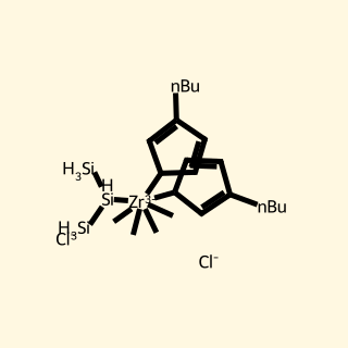 CCCCC1=C[CH]([Zr-3]([CH3])([CH3])([CH3])([CH3])([CH]2C=CC(CCCC)=C2)[SiH]([SiH3])[SiH3])C=C1.[Cl-].[Cl-]